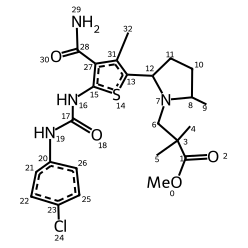 COC(=O)C(C)(C)CN1C(C)CCC1c1sc(NC(=O)Nc2ccc(Cl)cc2)c(C(N)=O)c1C